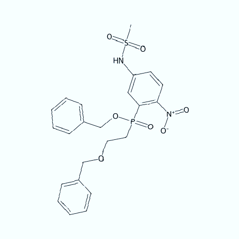 CS(=O)(=O)Nc1ccc([N+](=O)[O-])c(P(=O)(CCOCc2ccccc2)OCc2ccccc2)c1